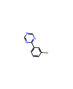 Brc1cccc(-c2ncncn2)c1